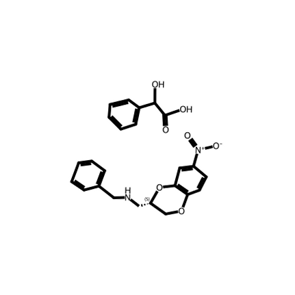 O=C(O)C(O)c1ccccc1.O=[N+]([O-])c1ccc2c(c1)O[C@@H](CNCc1ccccc1)CO2